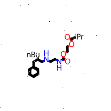 CCCCC(CNCCNC(=O)OCCOC(=O)C(C)C)Cc1ccccc1